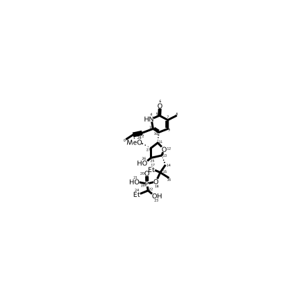 CC#Cc1[nH]c(=O)c(C)cc1[C@@H]1O[C@H](CC(C)(CC)OP(=O)(O)C(O)CC)C(O)[C@@H]1OC